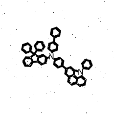 c1ccc(-c2ccc(N(c3ccc(-c4cc5ccc6cccc7c6c5c(c4)n7-c4ccccc4)cc3)c3ccc4c(c3)C(c3ccccc3)(c3ccccc3)c3ccccc3-4)cc2)cc1